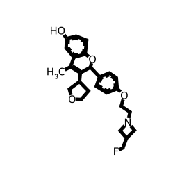 CC1=C(C2CCOC2)C(c2ccc(OCCN3CC(CF)C3)cc2)Oc2ccc(O)cc21